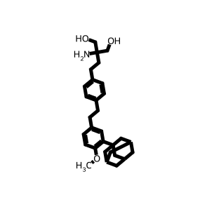 COc1ccc(CCc2ccc(CCC(N)(CO)CO)cc2)cc1C12CC3CC(CC(C3)C1)C2